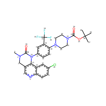 CN1Cc2cnc3ccc(Cl)cc3c2N(c2ccc(N3CCN(C(=O)OC(C)(C)C)CC3)c(C(F)(F)F)c2)C1=O